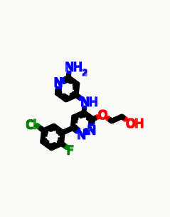 Nc1cc(Nc2cc(-c3cc(Cl)ccc3F)nnc2OCCO)ccn1